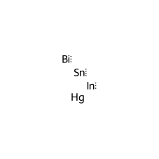 [Bi].[Hg].[In].[Sn]